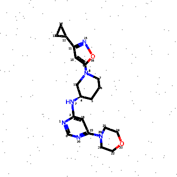 c1nc(N[C@@H]2CCCN(c3cc(C4CC4)no3)C2)cc(N2CCOCC2)n1